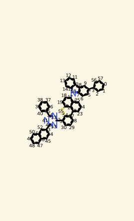 c1ccc(-c2ccc3c(c2)c2ccccc2n3-c2ccc3c4c(cccc24)-c2cccc(-c4nc(-c5ccccc5)nc(-c5ccc6ccccc6c5)n4)c2S3)cc1